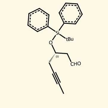 CC#CC[C@@H](CC=O)O[Si](c1ccccc1)(c1ccccc1)C(C)(C)C